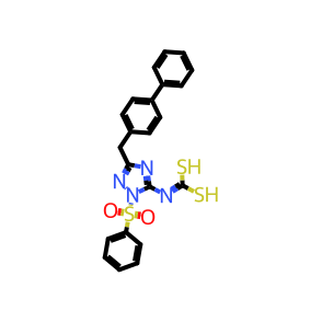 O=S(=O)(c1ccccc1)n1nc(Cc2ccc(-c3ccccc3)cc2)nc1N=C(S)S